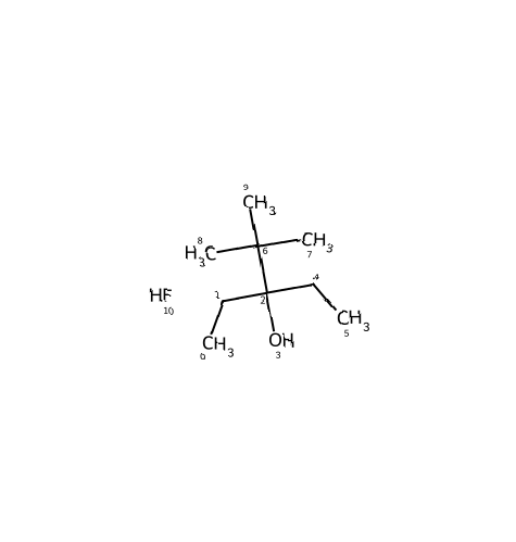 CCC(O)(CC)C(C)(C)C.F